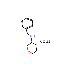 CCOC(=O)[C@@H]1CCOC[C@H]1NCc1ccccc1